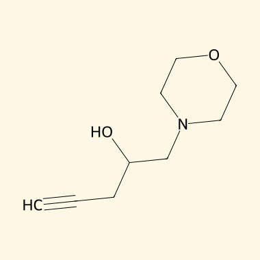 C#CCC(O)CN1CCOCC1